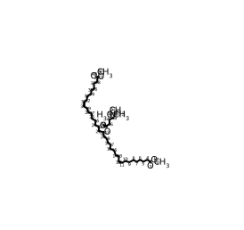 COC(=O)CCCCCCC/C=C\CCCCCCCCC(CCCCCCCC/C=C\CCCCCCCC(=O)OC)OC(=O)CCC[N+](C)(C)C